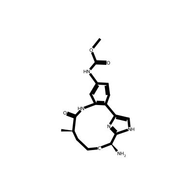 COC(=O)Nc1ccc2c(c1)NC(=O)[C@H](C)CCC[C@H](N)c1nc-2c[nH]1